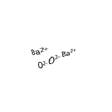 [Ba+2].[Ba+2].[O-2].[O-2]